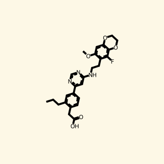 CCCc1cc(-c2cc(NCCc3c(OC)cc4c(c3F)OCCO4)ncn2)ccc1CC(=O)O